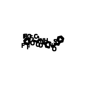 O=C(O)C[C@H](NC(=O)C1CCN(C(=O)c2cc3ccccc3s2)CC1)C(=O)COc1c(F)c(F)cc(F)c1F